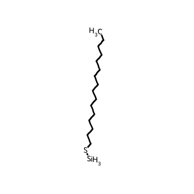 CCCCCCCCCCCCCCCCS[SiH3]